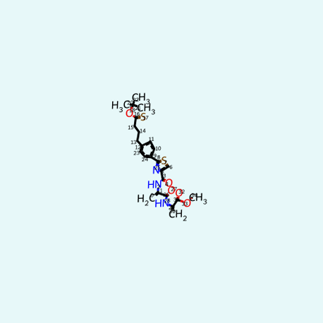 C=C(NC(=O)c1csc(-c2ccc(CCCC(=S)OC(C)(C)C)cc2)n1)C(=O)NC(=C)C(=O)OC